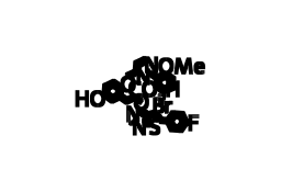 COc1ccccc1-c1nccc(COc2ccc(O)cc2CC(Oc2ncnc3sc(-c4ccc(F)cc4)c(Br)c23)C(=O)O)n1